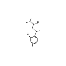 CC(C)=C(F)CC(C)c1ccc(C)cc1F